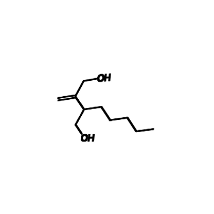 C=C(CO)C(CO)CCCCC